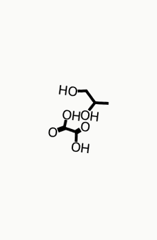 CC(O)CO.O=C(O)C(=O)O